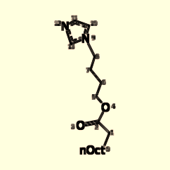 CCCCCCCCCC(=O)OCCCCn1ccnc1